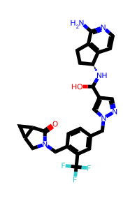 Nc1nccc2c1CC[C@H]2NC(O)c1cnn(Cc2ccc(CN3CC4CC4C3=O)c(C(F)(F)F)c2)c1